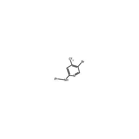 CC(C)Nc1cc(C(F)(F)F)c(Br)cn1